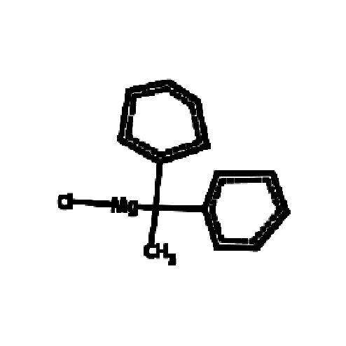 C[C]([Mg][Cl])(c1ccccc1)c1ccccc1